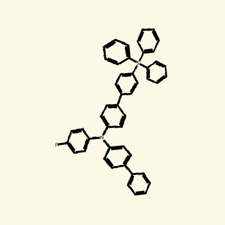 Fc1ccc(N(c2ccc(-c3ccccc3)cc2)c2ccc(-c3ccc([Si](c4ccccc4)(c4ccccc4)c4ccccc4)cc3)cc2)cc1